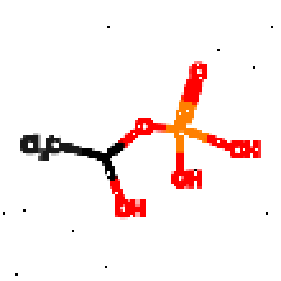 O=P(O)(O)OC(O)C(Cl)(Cl)Cl